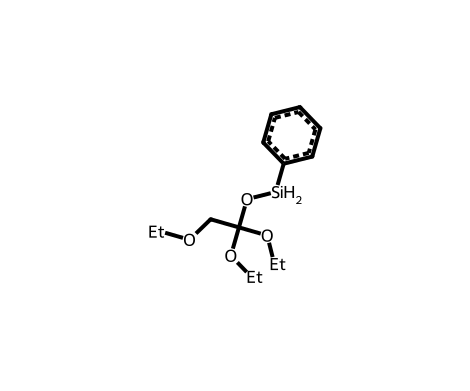 CCOCC(OCC)(OCC)O[SiH2]c1ccccc1